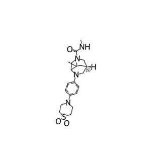 CNC(=O)N1CC2N(c3ccc(N4CCS(=O)(=O)CC4)cc3)C[C@@H](C1)CC2(C)C